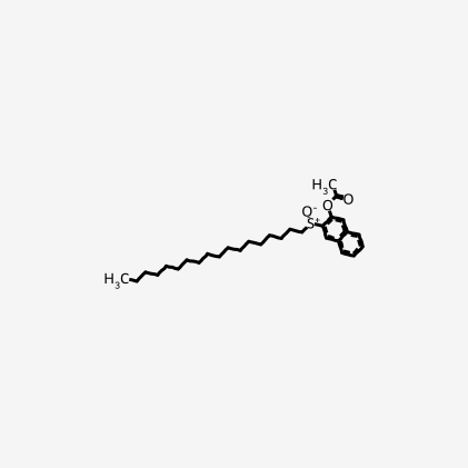 CCCCCCCCCCCCCCCCCC[S+]([O-])c1cc2ccccc2cc1OC(C)=O